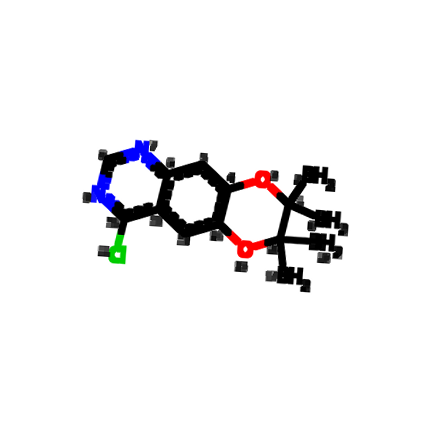 BC1(B)Oc2cc3ncnc(Cl)c3cc2OC1(B)B